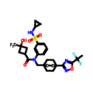 CC(F)(F)c1nc(C23CCC(CN(C(=O)C4CC(O)(C(F)(F)F)C4)c4cccc(S(=O)(=O)NC5CC5)c4)(CC2)CC3)no1